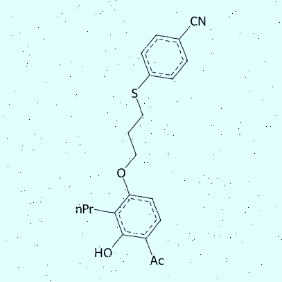 CCCc1c(OCCCSc2ccc(C#N)cc2)ccc(C(C)=O)c1O